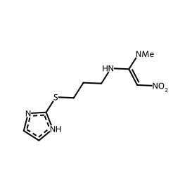 CNC(=C[N+](=O)[O-])NCCCSc1ncc[nH]1